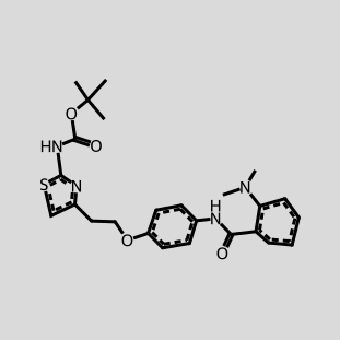 CN(C)c1ccccc1C(=O)Nc1ccc(OCCc2csc(NC(=O)OC(C)(C)C)n2)cc1